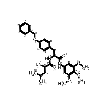 COc1cc(NC(=O)C(Cc2ccc(OCc3ccccc3)cc2)NC(=O)C(N)CC(C)C)cc(OC)c1OC